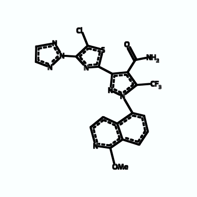 COc1nccc2c(-n3nc(-c4nc(-n5nccn5)c(Cl)s4)c(C(N)=O)c3C(F)(F)F)cccc12